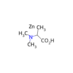 CC(C(=O)O)N(C)C.[Zn]